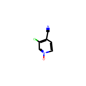 N#Cc1cc[n+]([O-])cc1Cl